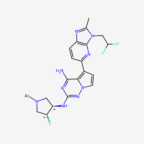 CC(=O)N1C[C@H](F)[C@H](Nc2nc(N)c3c(-c4ccc5nc(C)n(CC(F)F)c5n4)ccn3n2)C1